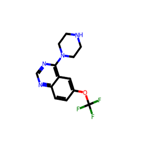 FC(F)(F)Oc1ccc2ncnc(N3CCNCC3)c2c1